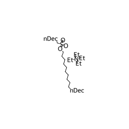 CCCCCCCCCCCCCCCCCCCCOS(=O)(=O)CCCCCCCCCCC.CC[N+](CC)(CC)CC